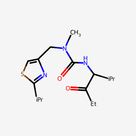 CCC(=O)C(NC(=O)N(C)Cc1csc(C(C)C)n1)C(C)C